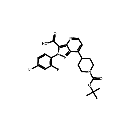 CC(C)(C)OC(=O)N1CCC(c2ccnc3c(C(=O)O)n(-c4ccc(Br)cc4F)nc23)CC1